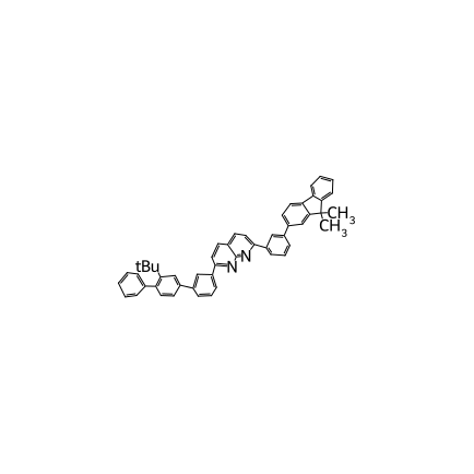 CC(C)(C)c1cc(-c2cccc(-c3ccc4ccc(-c5cccc(-c6ccc7c(c6)C(C)(C)c6ccccc6-7)c5)nc4n3)c2)ccc1-c1ccccc1